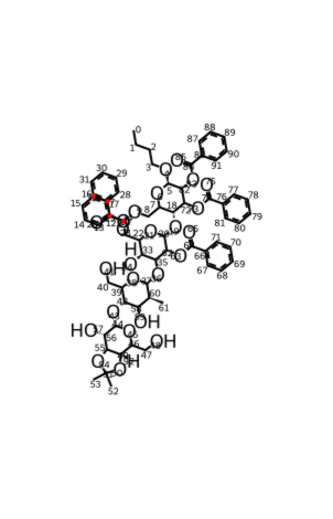 CCCCO[C@@H]1OC(COC(=O)c2ccccc2)[C@@H](O[C@@H]2OC(COC(=O)c3ccccc3)[C@H](O)C(O[C@@H]3OC(CO)[C@@H](O[C@@H]4OC(CO)[C@@H]5OC(C)(C)OC5[C@@H]4O)C(O)[C@@H]3C)[C@@H]2OC(=O)c2ccccc2)C(OC(=O)c2ccccc2)[C@@H]1OC(=O)c1ccccc1